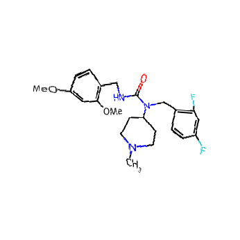 COc1ccc(CNC(=O)N(Cc2ccc(F)cc2F)C2CCN(C)CC2)c(OC)c1